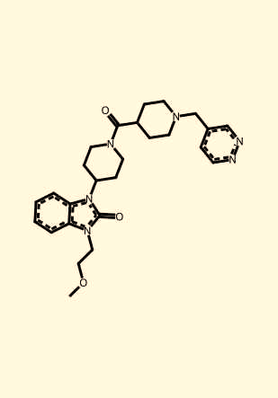 COCCn1c(=O)n(C2CCN(C(=O)C3CCN(Cc4ccnnc4)CC3)CC2)c2ccccc21